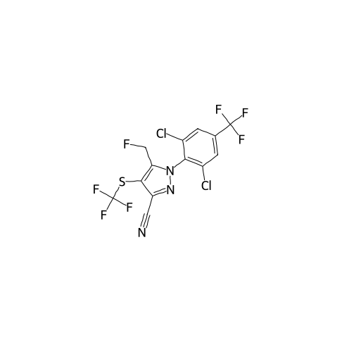 N#Cc1nn(-c2c(Cl)cc(C(F)(F)F)cc2Cl)c(CF)c1SC(F)(F)F